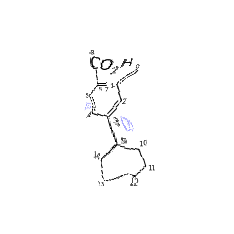 C=C/C=C(\C=C/C(=C)C(=O)O)C1CCCCC1